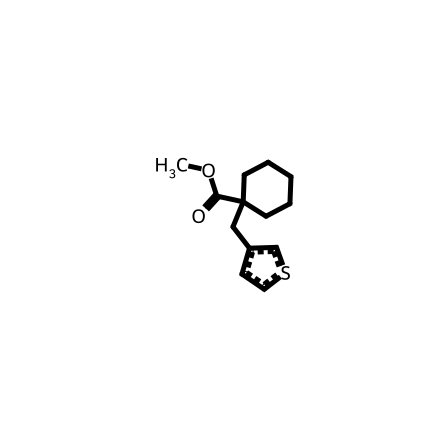 COC(=O)C1(Cc2ccsc2)CCCCC1